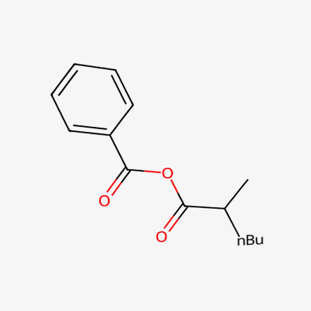 [CH2]CCCC(C)C(=O)OC(=O)c1ccccc1